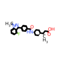 C[C@@H](CC(=O)O)[C@H]1CC[C@H](NC(=O)c2ccc(-c3nn(C)c4cccc(F)c34)cc2)CC1